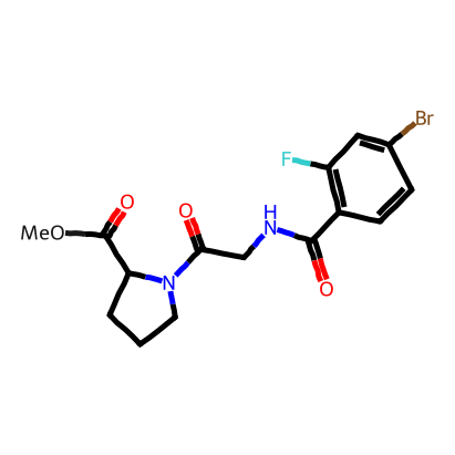 COC(=O)C1CCCN1C(=O)CNC(=O)c1ccc(Br)cc1F